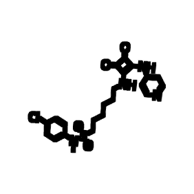 CN(c1ccc(Cl)cc1)S(=O)(=O)CCCCCCNc1c(Nc2ccncc2)c(=O)c1=O